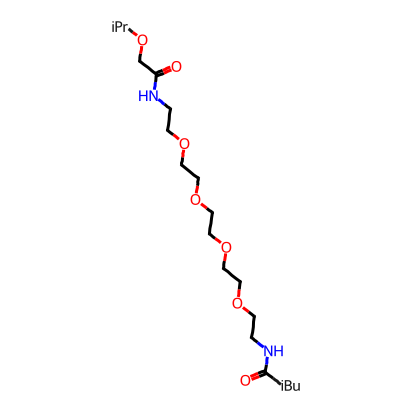 CCC(C)C(=O)NCCOCCOCCOCCOCCNC(=O)COC(C)C